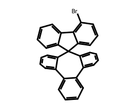 Brc1cccc2c1-c1ccccc1C21c2ccccc2-c2ccccc2-c2ccccc21